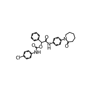 O=C(Nc1ccc(Cl)cc1)OC(C(=O)Nc1ccc(N2CCCCCC2=O)cc1)c1ccccc1